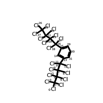 ClC(Cl)(Cl)C(Cl)(Cl)C(Cl)(Cl)C(Cl)(Cl)c1[c]c(C(Cl)(Cl)C(Cl)(Cl)C(Cl)(Cl)C(Cl)(Cl)Cl)ccc1